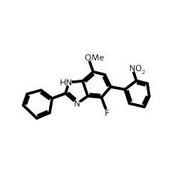 COc1cc(-c2ccccc2[N+](=O)[O-])c(F)c2nc(-c3ccccc3)[nH]c12